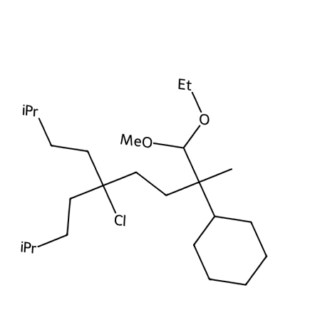 CCOC(OC)C(C)(CCC(Cl)(CCC(C)C)CCC(C)C)C1CCCCC1